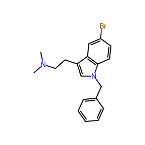 CN(C)CCc1cn(Cc2ccccc2)c2ccc(Br)cc12